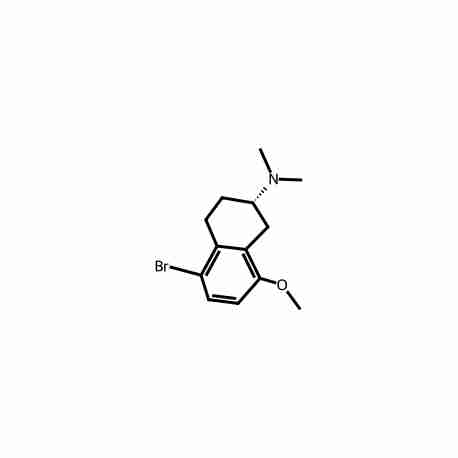 COc1ccc(Br)c2c1C[C@@H](N(C)C)CC2